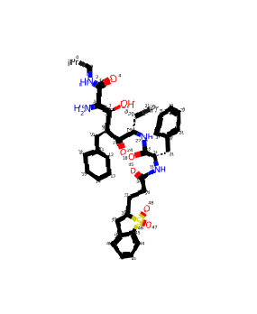 CC(C)CNC(=O)C(N)[C@@H](O)[C@H](CC1CCCCC1)C(=O)[C@H](CC(C)C)NC(=O)[C@H](Cc1ccccc1)NC(=O)CCC1Cc2ccccc2S1(=O)=O